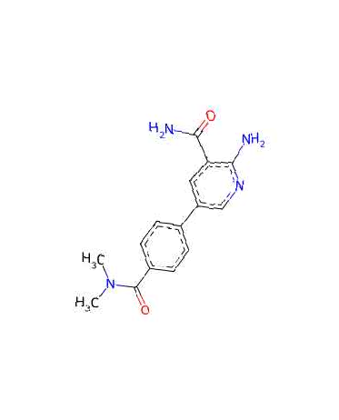 CN(C)C(=O)c1ccc(-c2cnc(N)c(C(N)=O)c2)cc1